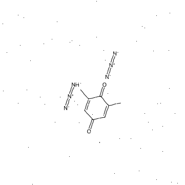 CC1=CC(=O)C=C(C)C1=O.[N-]=[N+]=N.[N-]=[N+]=[N-]